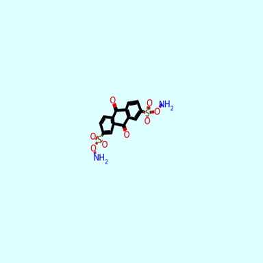 NOS(=O)(=O)c1ccc2c(c1)C(=O)c1cc(S(=O)(=O)ON)ccc1C2=O